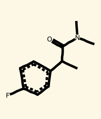 CC(C(=O)N(C)C)c1ccc(F)cc1